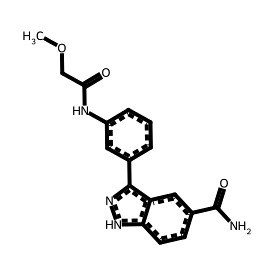 COCC(=O)Nc1cccc(-c2n[nH]c3ccc(C(N)=O)cc23)c1